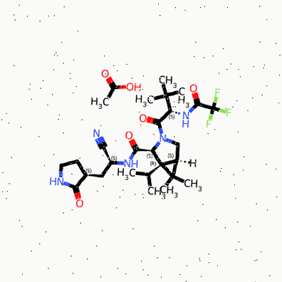 CC(=O)O.CC(C)[C@@]12[C@@H](C(=O)N[C@H](C#N)C[C@@H]3CCNC3=O)N(C(=O)[C@@H](NC(=O)C(F)(F)F)C(C)(C)C)C[C@H]1C2(C)C